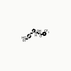 CCC(O)CN1CCN(CCN2CCCC2NC(=O)CNC(=O)c2cccc(C(F)(F)F)c2)CC1